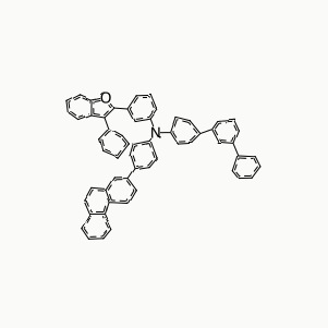 c1ccc(-c2cccc(-c3ccc(N(c4ccc(-c5ccc6c(ccc7ccccc76)c5)cc4)c4cccc(-c5oc6ccccc6c5-c5ccccc5)c4)cc3)c2)cc1